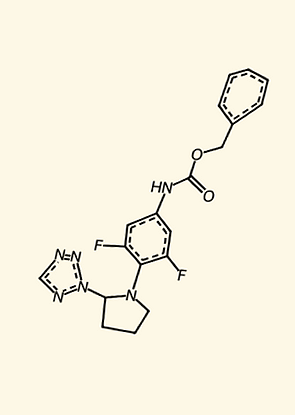 O=C(Nc1cc(F)c(N2CCCC2n2ncnn2)c(F)c1)OCc1ccccc1